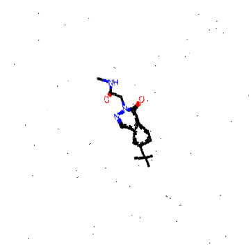 CNC(=O)Cn1ncc2cc(C(C)(C)C)ccc2c1=O